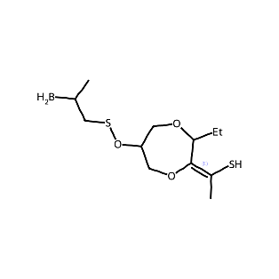 BC(C)CSOC1CO/C(=C(\C)S)C(CC)OC1